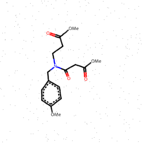 COC(=O)CCN(Cc1ccc(OC)cc1)C(=O)CC(=O)OC